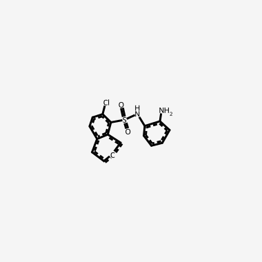 Nc1ccccc1NS(=O)(=O)c1c(Cl)ccc2ccccc12